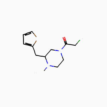 O=C(CBr)N1CCN(C(=O)O)C(Cc2cccs2)C1